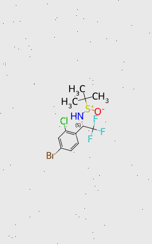 CC(C)(C)[S+]([O-])N[C@@H](c1ccc(Br)cc1Cl)C(F)(F)F